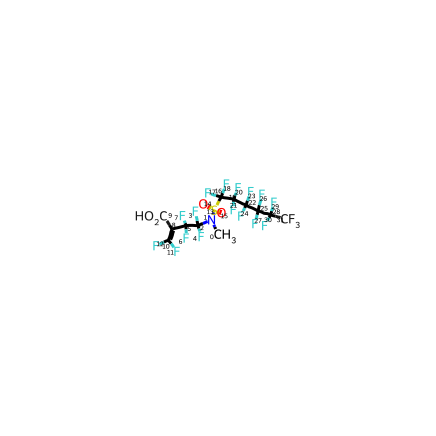 CN(C(F)(F)C(F)(F)C(C(=O)O)=C(F)F)S(=O)(=O)C(F)(F)C(F)(F)C(F)(F)C(F)(F)C(F)(F)C(F)(F)F